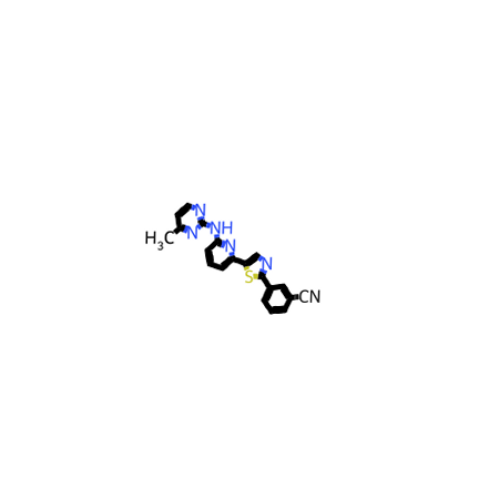 Cc1ccnc(Nc2cccc(-c3cnc(-c4cccc(C#N)c4)s3)n2)n1